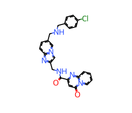 O=C(NCc1cn2cc(CNCc3ccc(Cl)cc3)ccc2n1)c1cc(=O)n2ccccc2n1